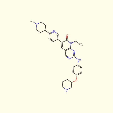 CC(=O)N1CCC(c2ccc(-c3cc4cnc(Nc5ccc(OC6CCCNC6)cc5)nc4n(CC(F)(F)F)c3=O)cn2)CC1